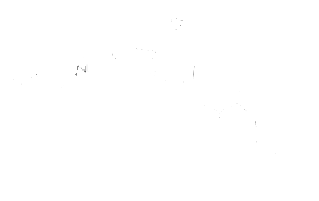 OCCN1CCN(Cc2ccc(-c3ccc(COC4CCCC4)cc3)cc2C(F)(F)F)CC1